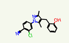 Cc1nn(-c2ccc(C#N)c(Cl)c2)c(C)c1Cc1ccccc1O